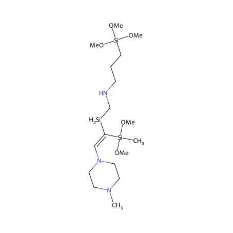 CO[Si](CCCNC[SiH2]C(=CN1CCN(C)CC1)[Si](C)(OC)OC)(OC)OC